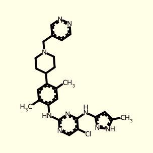 Cc1cc(Nc2nc(Nc3cc(C)c(C4CCN(Cc5ccnnc5)CC4)cc3C)ncc2Cl)n[nH]1